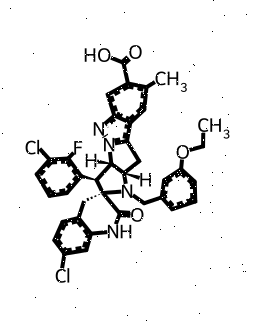 CCOc1cccc(CN2[C@H]3Cc4c5cc(C)c(C(=O)O)cc5nn4[C@H]3[C@H](c3cccc(Cl)c3F)[C@@]23Cc2ccc(Cl)cc2NC3=O)c1